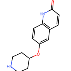 O=c1ccc2cc(OC3CCNCC3)ccc2[nH]1